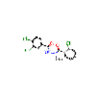 CC(C)(C)N(NC(=O)c1ccc(Cl)c(Cl)c1)C(=O)c1ccccc1Cl